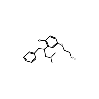 CN(C)CC(Cc1ccccc1)c1cc(OCCN)ccc1Cl